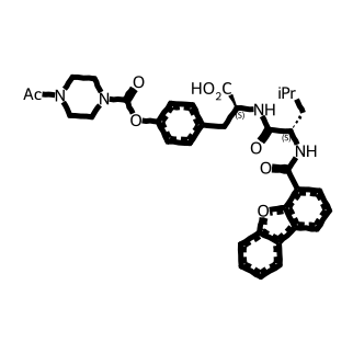 CC(=O)N1CCN(C(=O)Oc2ccc(C[C@H](NC(=O)[C@H](CC(C)C)NC(=O)c3cccc4c3oc3ccccc34)C(=O)O)cc2)CC1